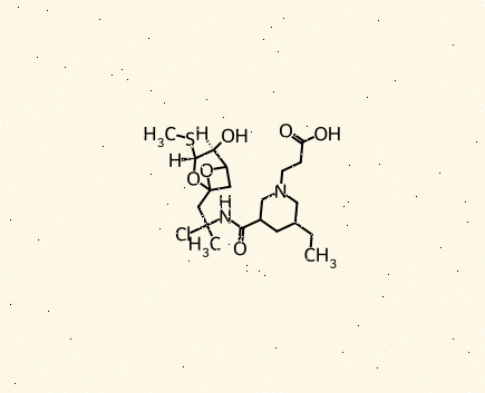 CCC1CC(C(=O)NC(C)(Cl)CC23CC(O2)[C@H](O)[C@@H](SC)O3)CN(CCC(=O)O)C1